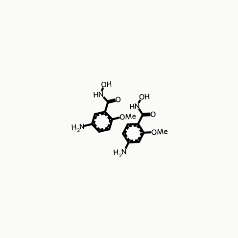 COc1cc(N)ccc1C(=O)NO.COc1ccc(N)cc1C(=O)NO